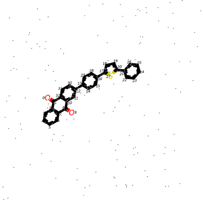 O=C1c2ccccc2C(=O)c2cc(-c3ccc(-c4ccc(-c5ccccc5)s4)cc3)ccc21